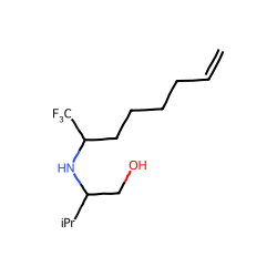 C=CCCCCC(NC(CO)C(C)C)C(F)(F)F